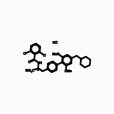 CCOC(=O)[C@H](Cc1ccc(-c2c(OC)cc(CN3CCCCC3)cc2OC)cc1)NC(=O)c1c(Cl)cccc1Cl.Cl